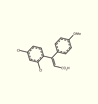 COc1ccc(/C(=C\C(=O)O)c2ccc(Cl)cc2Cl)cc1